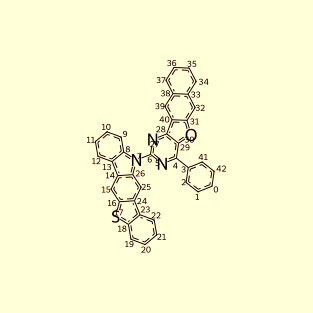 c1ccc(-c2nc(-n3c4ccccc4c4cc5sc6ccccc6c5cc43)nc3c2oc2cc4ccccc4cc23)cc1